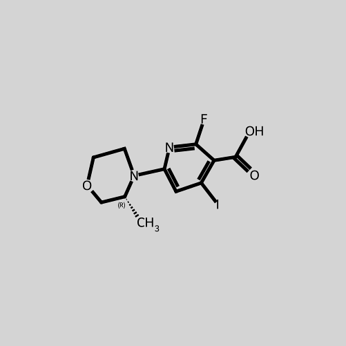 C[C@@H]1COCCN1c1cc(I)c(C(=O)O)c(F)n1